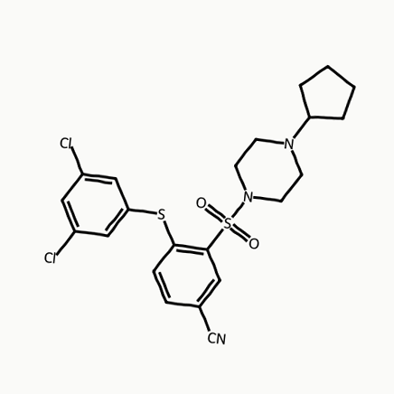 N#Cc1ccc(Sc2cc(Cl)cc(Cl)c2)c(S(=O)(=O)N2CCN(C3CCCC3)CC2)c1